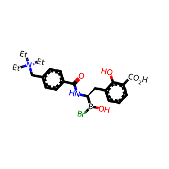 CC[N+](CC)(CC)Cc1ccc(C(=O)N[C@@H](Cc2cccc(C(=O)O)c2O)B(O)Br)cc1